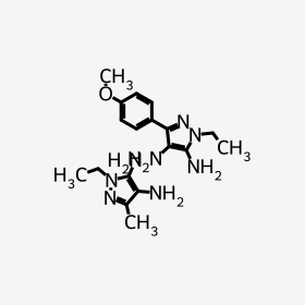 CCn1nc(-c2ccc(OC)cc2)c(N)c1N.CCn1nc(C)c(N)c1N